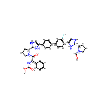 COC(=O)N[C@@H](C(=O)N1CCC[C@H]1C1NC=C(c2ccc(-c3ccc(-c4cnc([C@@H]5CCCN5C=O)[nH]4)c(F)c3)cc2)N1)c1ccccc1